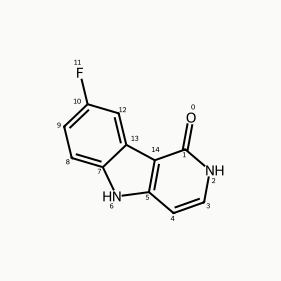 O=c1[nH]ccc2[nH]c3ccc(F)cc3c12